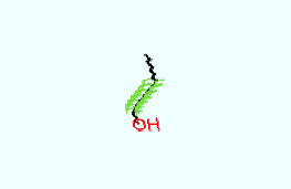 CCCCCCCCC(F)(F)C(F)(F)C(F)(F)C(F)(F)C(F)(F)C(F)(F)CCCO